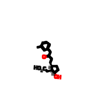 Cc1cccc(CC(=O)CC[C@@H]2CC[C@@H](O)[C@H]2CC(=O)O)c1